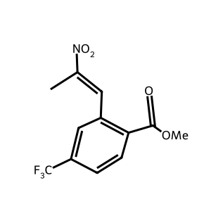 COC(=O)c1ccc(C(F)(F)F)cc1/C=C(\C)[N+](=O)[O-]